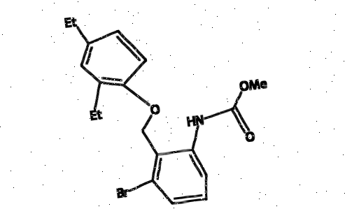 CCc1ccc(OCc2c(Br)cccc2NC(=O)OC)c(CC)c1